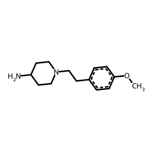 COc1ccc(CCN2CCC(N)CC2)cc1